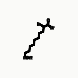 CCCCCCCCCCCCCCCCC(Br)C(=O)Br